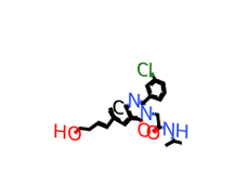 CC(C)NC(=O)Cn1c(-c2cccc(Cl)c2)nc2ccc(C=CCCO)cc2c1=O